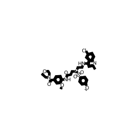 COc1ccc(S(=O)(=O)N(CCNc2cc(C)nc3ccc(Cl)cc23)CCC(=O)Nc2ccc(C(=O)N3CCOCC3)cc2OC)cc1